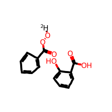 O=C(O)c1ccccc1O.[2H]OOC(=O)c1ccccc1